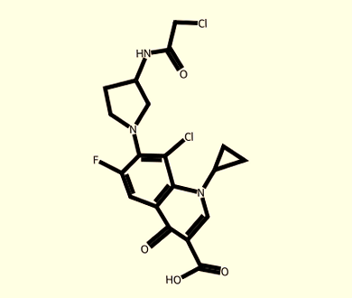 O=C(CCl)NC1CCN(c2c(F)cc3c(=O)c(C(=O)O)cn(C4CC4)c3c2Cl)C1